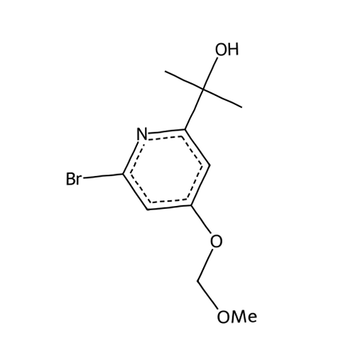 COCOc1cc(Br)nc(C(C)(C)O)c1